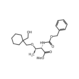 COC(=O)[C@@H](NC(=O)OCc1ccccc1)[C@@H](C)OCC1(CO)CCCCC1